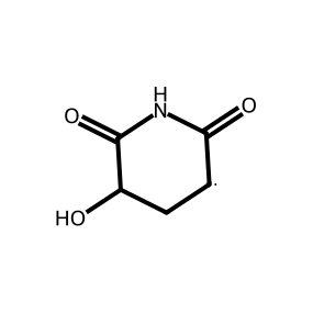 O=C1[CH]CC(O)C(=O)N1